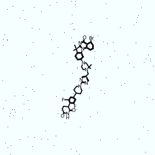 CC1(C)c2ccc(N3CCN(Cc4cnc(N5CCC(c6cc(F)c(C7CCC(=O)NC7=O)c(F)c6)CC5)nc4)C(C)(C)C3)cc2-n2c1nc(=O)c1c(Br)cccc12